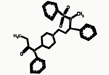 CCC(=O)N(c1ccccc1)C1CCN(CCC(c2ccccc2)N(C)S(=O)(=O)c2ccccc2)CC1